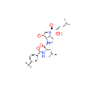 CC(C)CCC(O)C(=O)N1CC(=O)C2C1CCN2C(=O)C(CC(C)C)NC(=O)c1ccc(C(C)(C)C)cc1